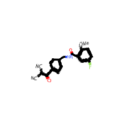 COc1ccc(F)cc1C(=O)NCc1ccc(C(=O)C(C#N)C#N)cc1